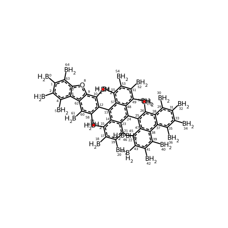 Bc1c(B)c(B)c2c(oc3c(B)c(-c4c5c(B)c(B)c(B)c(B)c5c(-c5c(B)c6c(B)c(B)c(B)c(B)c6c6c(B)c(B)c(B)c(B)c56)c5c(B)c(B)c(B)c(B)c45)c(B)c(B)c32)c1B